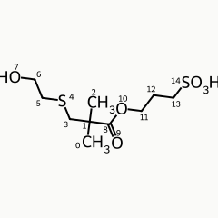 CC(C)(CSCCO)C(=O)OCCCS(=O)(=O)O